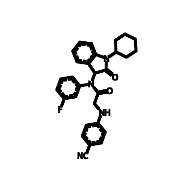 N#Cc1ccc(NCC(=O)N(c2cccc(F)c2)C2C(=O)N(C3CCCCC3)c3ccccc32)cc1